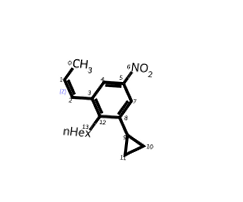 C/C=C\c1cc([N+](=O)[O-])cc(C2CC2)c1CCCCCC